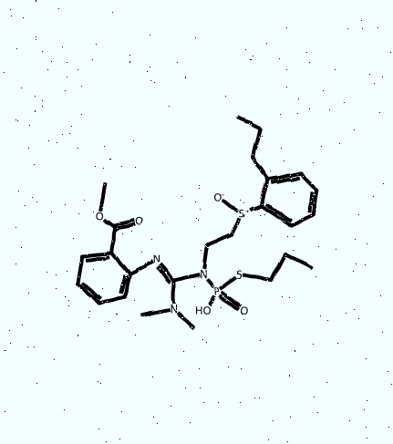 CCCSP(=O)(O)N(CC[S+]([O-])c1ccccc1CCC)C(=Nc1ccccc1C(=O)OC)N(C)C